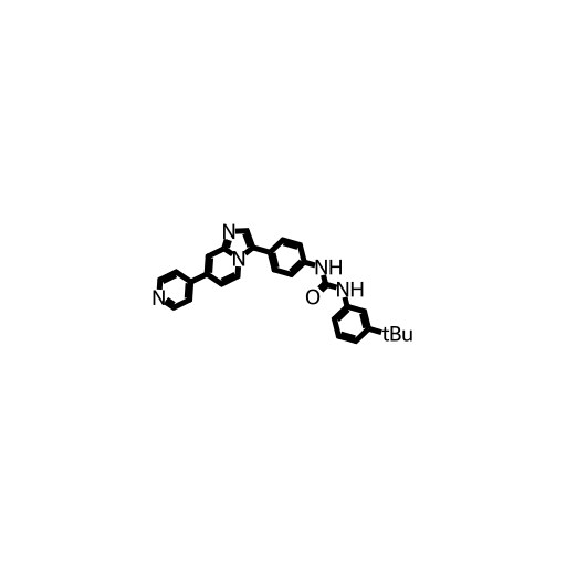 CC(C)(C)c1cccc(NC(=O)Nc2ccc(-c3cnc4cc(-c5ccncc5)ccn34)cc2)c1